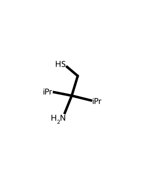 CC(C)C(N)(CS)C(C)C